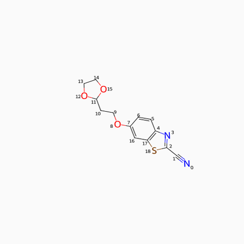 N#Cc1nc2ccc(OCCC3OCCO3)cc2s1